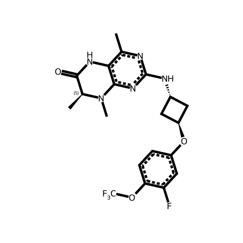 Cc1nc(N[C@H]2C[C@H](Oc3ccc(OC(F)(F)F)c(F)c3)C2)nc2c1NC(=O)[C@H](C)N2C